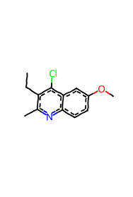 CCc1c(C)nc2ccc(OC)cc2c1Cl